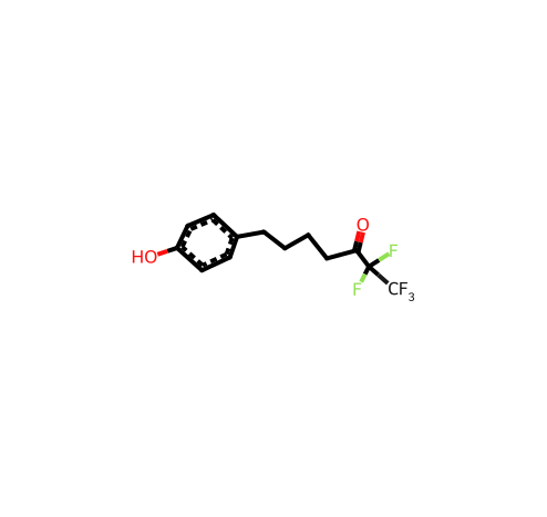 O=C(CCCCc1ccc(O)cc1)C(F)(F)C(F)(F)F